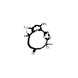 Nc1cc(C(F)(F)F)c2nc1-c1nnc(o1)[C@@](O)(C(F)(F)F)CCC(=O)CCCC2(F)F